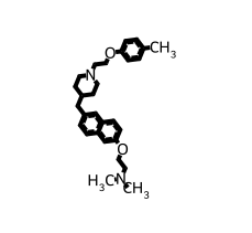 Cc1ccc(OCCN2CCC(Cc3ccc4cc(OCCN(C)C)ccc4c3)CC2)cc1